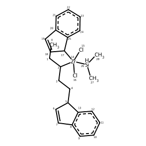 CC[CH](CCC1C=Cc2ccccc21)[Zr]([Cl])([Cl])([CH]1C=Cc2ccccc21)[SiH](C)C